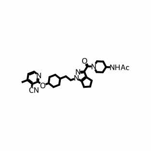 CC(=O)NC1CCN(C(=O)c2nn(CCC3CCC(Oc4nccc(C)c4C#N)CC3)c3c2CCC3)CC1